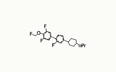 CCCC1CCC(c2ccc(-c3cc(F)c(OCF)c(F)c3)c(F)c2)CC1